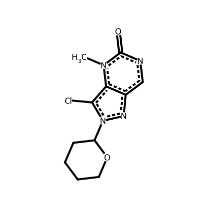 Cn1c(=O)ncc2nn(C3CCCCO3)c(Cl)c21